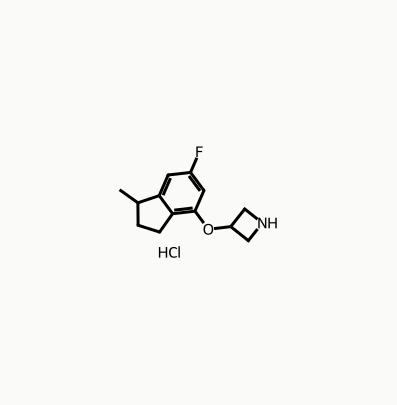 CC1CCc2c(OC3CNC3)cc(F)cc21.Cl